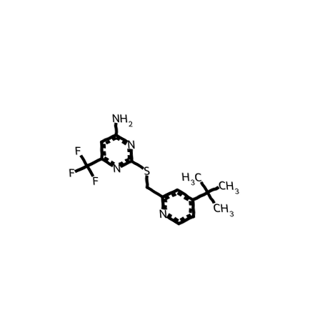 CC(C)(C)c1ccnc(CSc2nc(N)cc(C(F)(F)F)n2)c1